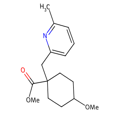 COC(=O)C1(Cc2cccc(C)n2)CCC(OC)CC1